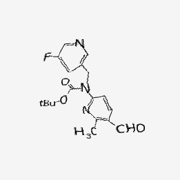 Cc1nc(N(Cc2cncc(F)c2)C(=O)OC(C)(C)C)ccc1C=O